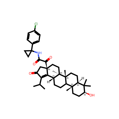 CC(C)C1=C2[C@H]3CCC4[C@@]5(C)CC[C@H](O)C(C)(C)[C@@H]5CC[C@@]4(C)[C@]3(C)CC[C@@]2(C(=O)C(=O)NC2(c3ccc(Cl)cc3)CC2)CC1=O